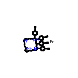 C#Cc1ccc(C2=Cc3cc4ccc(cc5nc(cc6[nH]c(c(-c7ccc(C#C)cc7)c2n3)c(-c2ccc(C#C)cc2)c6-c2ccc(C#C)cc2)C=C5)[nH]4)cc1.[Fe]